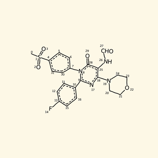 CS(=O)(=O)c1ccc(-n2c(-c3ccc(F)cc3)nc(N3CCOCC3)c(NC=O)c2=O)cc1